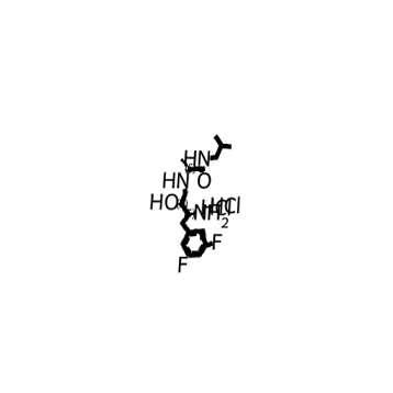 CC(C)CNC(=O)[C@H](C)NC[C@@H](O)[C@@H](N)Cc1cc(F)cc(F)c1.Cl.Cl